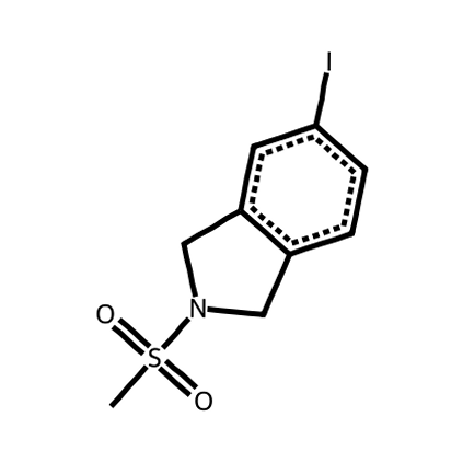 CS(=O)(=O)N1Cc2ccc(I)cc2C1